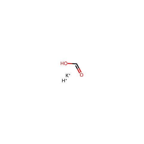 O=CO.[H+].[K+]